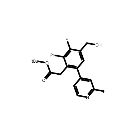 CC(C)c1c(F)c(CO)cc(-c2ccnc(F)c2)c1CC(=O)OC(C)(C)C